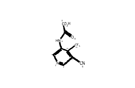 N#Cc1cncc(NC(=O)C(=O)O)c1C(F)(F)F